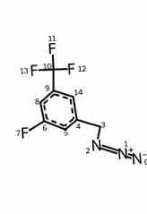 [N-]=[N+]=NCc1cc(F)cc(C(F)(F)F)c1